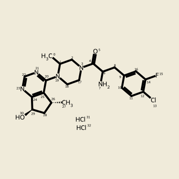 CC1CN(C(=O)C(N)Cc2ccc(Cl)c(F)c2)CCN1c1ncnc2c1[C@H](C)C[C@H]2O.Cl.Cl